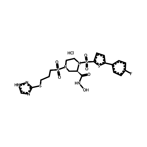 Cl.O=C(NO)[C@H]1CN(S(=O)(=O)CCCSc2nc[nH]n2)CCN1S(=O)(=O)c1ccc(-c2ccc(F)cc2)s1